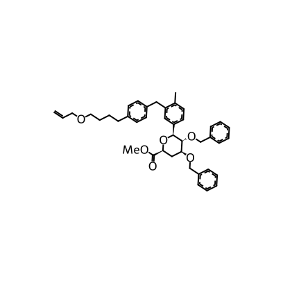 C=CCOCCCCc1ccc(Cc2cc([C@@H]3O[C@H](C(=O)OC)C[C@H](OCc4ccccc4)[C@H]3OCc3ccccc3)ccc2C)cc1